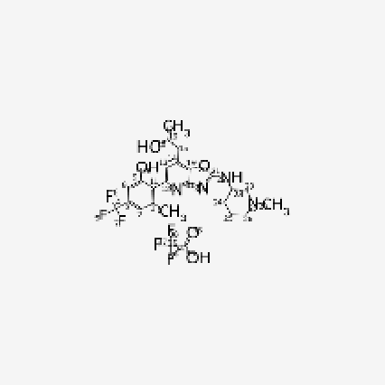 Cc1cc(C(F)(F)F)cc(O)c1-c1cc(C[C@@H](C)O)c2oc(N[C@@H]3CCCN(C)C3)nc2n1.O=C(O)C(F)(F)F